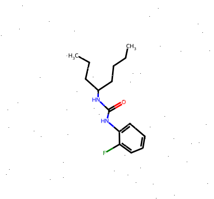 CCCCC(CCC)NC(=O)Nc1ccccc1F